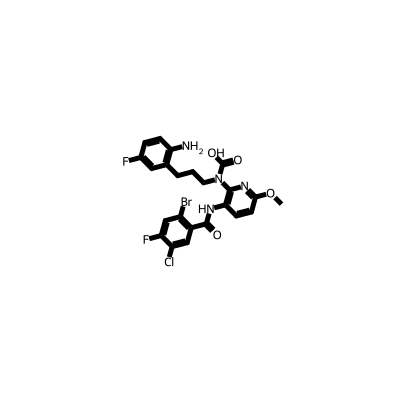 COc1ccc(NC(=O)c2cc(Cl)c(F)cc2Br)c(N(CCCc2cc(F)ccc2N)C(=O)O)n1